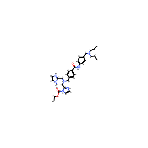 CCCN(CCC)Cc1ccc(NC(=O)c2ccc(CN(Cc3nccn3C)Cc3nccn3C(=O)OCC)cc2)cc1